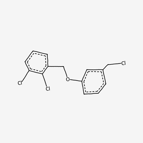 ClCc1cccc(OCc2cccc(Cl)c2Cl)c1